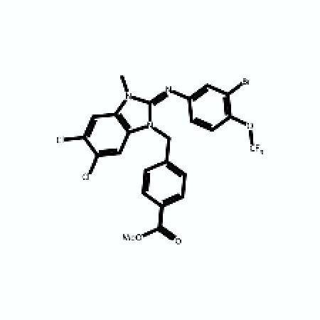 COC(=O)c1ccc(Cn2c(=Nc3ccc(OC(F)(F)F)c(Br)c3)n(C)c3cc(Cl)c(Cl)cc32)cc1